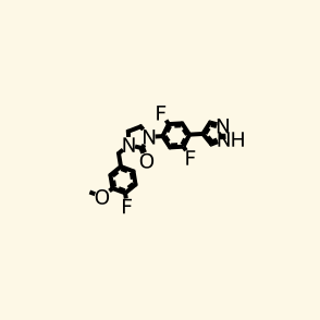 COc1cc(CN2CCN(c3cc(F)c(-c4cn[nH]c4)cc3F)C2=O)ccc1F